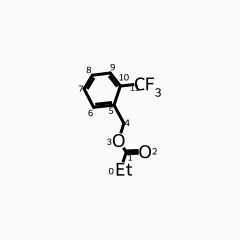 CCC(=O)OCc1ccccc1C(F)(F)F